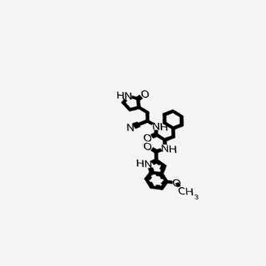 COc1cccc2[nH]c(C(=O)NC(CC3CCCCC3)C(=O)NC(C#N)CC3CCNC3=O)cc12